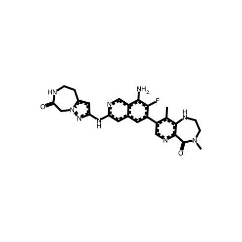 Cc1c(-c2cc3cc(Nc4cc5n(n4)CC(=O)NCC5)ncc3c(N)c2F)cnc2c1NCCN(C)C2=O